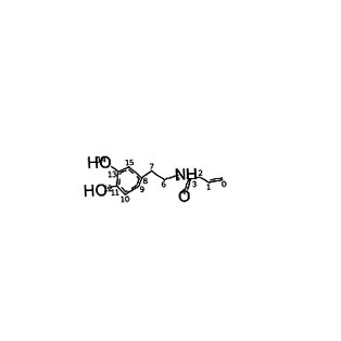 C=CCC(=O)NCCc1ccc(O)c(O)c1